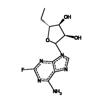 CC[C@H]1OC(n2cnc3c(N)nc(F)nc32)[C@H](O)[C@@H]1O